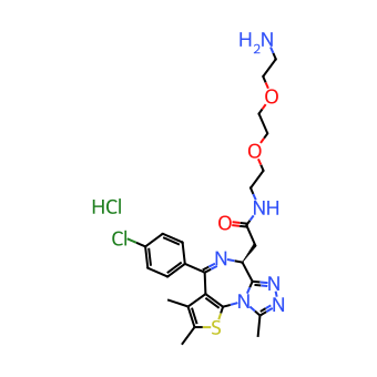 Cc1sc2c(c1C)C(c1ccc(Cl)cc1)=N[C@@H](CC(=O)NCCOCCOCCN)c1nnc(C)n1-2.Cl